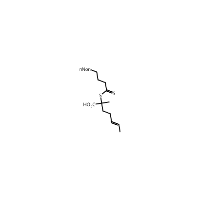 CC=CCCC(C)(SC(=S)CCCCCCCCCCCC)C(=O)O